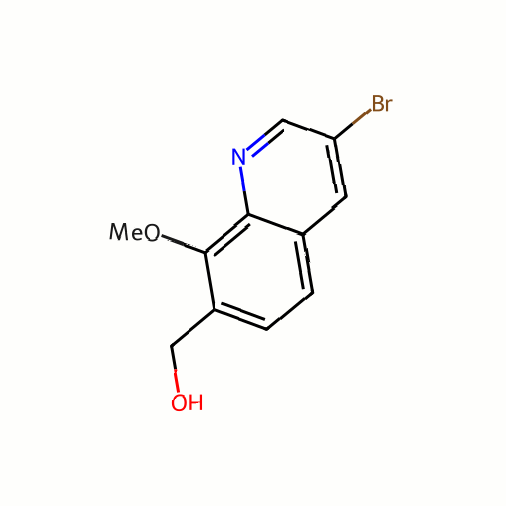 COc1c(CO)ccc2cc(Br)cnc12